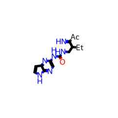 CCC(CNC(=O)Nc1cnc2[nH]ccc2n1)C(=N)C(C)=O